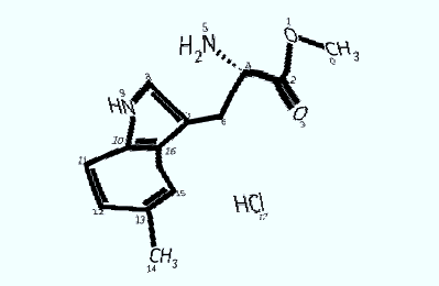 COC(=O)[C@@H](N)Cc1c[nH]c2ccc(C)cc12.Cl